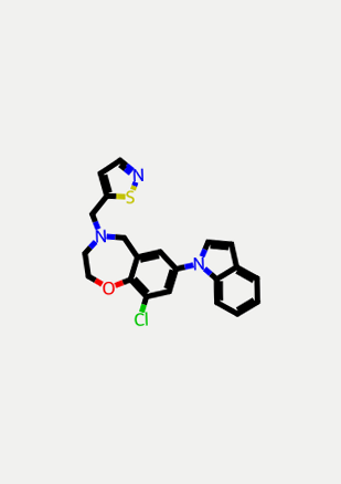 Clc1cc(-n2ccc3ccccc32)cc2c1OCCN(Cc1ccns1)C2